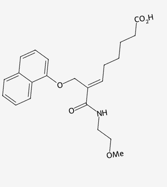 COCCNC(=O)/C(=C/CCCCC(=O)O)COc1cccc2ccccc12